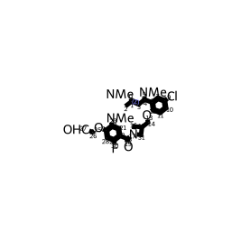 CN/C(C)=C\C(NC)c1cc(Cl)ccc1OCC1CN(C(=O)c2cc(NC)c(OCC=O)cc2F)C1